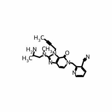 CC#CCn1c(N(C)CC(C)N)nc2ccn(Cc3ncccc3C#N)c(=O)c21